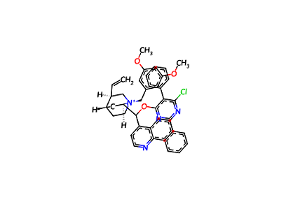 C=C[C@H]1C[N@+]2(Cc3cc(OC)cc(OC)c3)CC[C@H]1C[C@@H]2C(Oc1nc(-c2ccccc2)nc(Cl)c1-c1ccccc1)c1ccnc2ccccc12